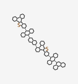 c1ccc2c(c1)cc(-c1c3ccccc3c(-c3ccc4c(c3)sc3c5ccccc5c5c(-c6ccc7cc(-c8c9ccccc9c(-c9ccc%10c(c9)sc9c%11ccccc%11c%11ccccc%11c%109)c9ccccc89)ccc7c6)cccc5c43)c3ccccc13)c1ccccc12